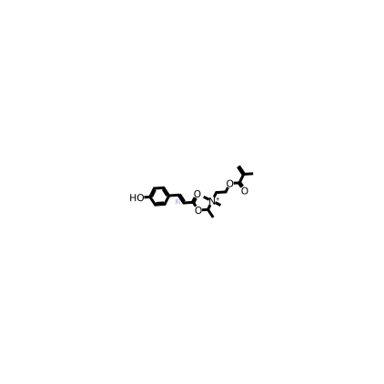 C=C(C)C(=O)OCC[N+](C)(C)C(C)OC(=O)/C=C/c1ccc(O)cc1